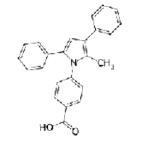 Cc1c(-c2ccccc2)cc(-c2ccccc2)n1-c1ccc(C(=O)O)cc1